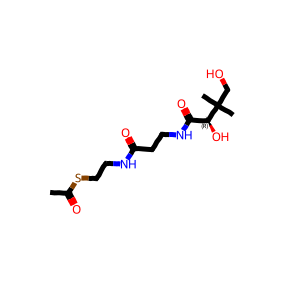 CC(=O)SCCNC(=O)CCNC(=O)[C@H](O)C(C)(C)CO